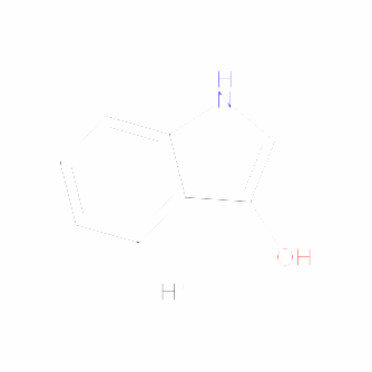 Oc1c[nH]c2ccccc12.[H+]